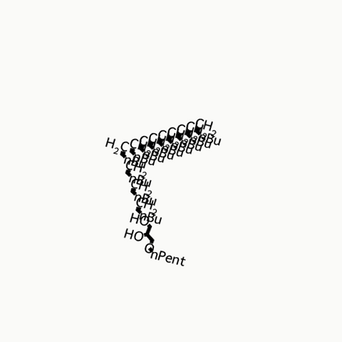 C=CCCCC.C=CCCCC.C=CCCCC.C=CCCCC.C=CCCCC.C=CCCCC.C=CCCCC.C=CCCCC.C=CCCCC.C=CCCCC.C=CCCCC.C=CCCCC.CCCCCOCC(O)CO